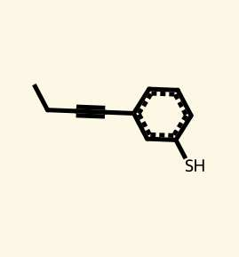 CCC#Cc1cccc(S)c1